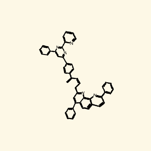 C=C(/C=C\Cc1cc(-c2ccccc2)c2ccc3ccc(-c4ccccc4)nc3c2n1)c1ccc(-c2cc(-c3ccccc3)nc(-c3ccccn3)n2)cc1